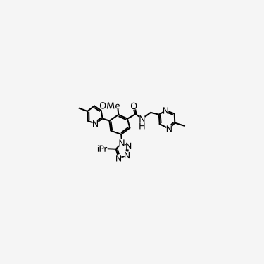 COc1c(C(=O)NCc2cnc(C)cn2)cc(-n2nnnc2C(C)C)cc1-c1ccc(C)cn1